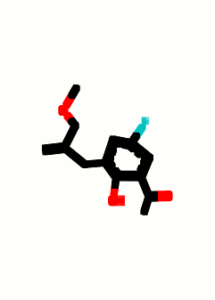 C=C(COC)Cc1cc(F)cc(C(C)=O)c1O